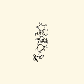 COC(=O)c1ccc2c(c1)CC[C@@H]1[C@@H]2[C@@H](F)C[C@]2(C)C(c3cccnc3)=CC[C@@H]12